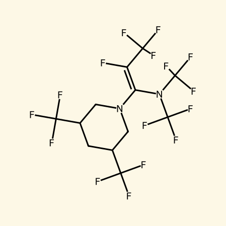 F/C(=C(\N1CC(C(F)(F)F)CC(C(F)(F)F)C1)N(C(F)(F)F)C(F)(F)F)C(F)(F)F